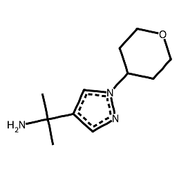 CC(C)(N)c1cnn(C2CCOCC2)c1